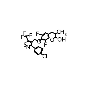 CC(Cc1cc(F)c(OCc2c(-c3ccc(Cl)cc3)nsc2C(F)(F)F)c(F)c1)C(=O)O